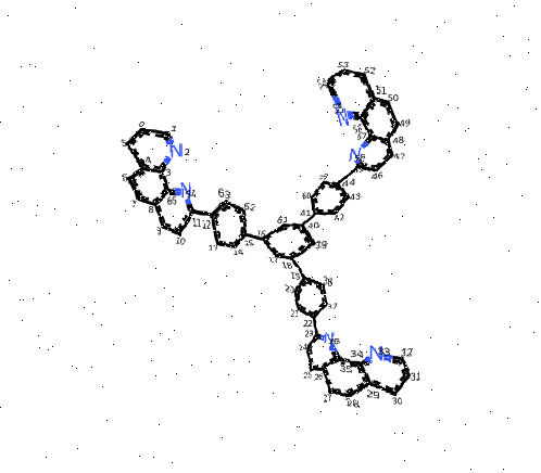 c1cnc2c(c1)ccc1ccc(-c3ccc(-c4cc(-c5ccc(-c6ccc7ccc8cccnc8c7n6)cc5)cc(-c5ccc(-c6ccc7ccc8cccnc8c7n6)cc5)c4)cc3)nc12